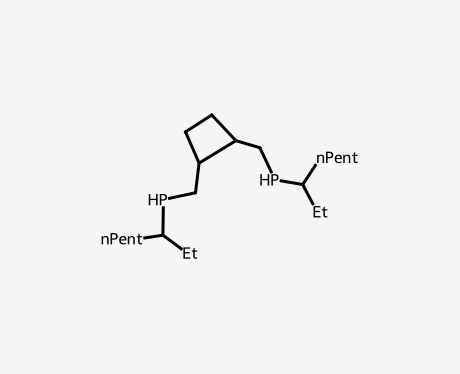 CCCCCC(CC)PCC1CCC1CPC(CC)CCCCC